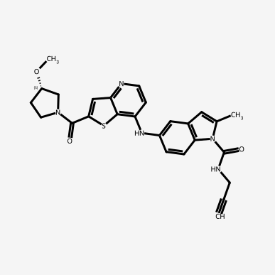 C#CCNC(=O)n1c(C)cc2cc(Nc3ccnc4cc(C(=O)N5CC[C@H](OC)C5)sc34)ccc21